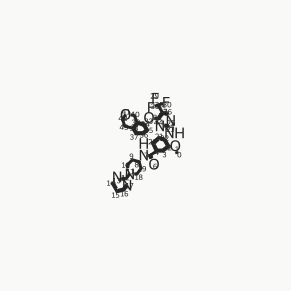 COc1cc(C(=O)NC2CCN(c3ncccn3)CC2)ccc1Nc1ncc(C(F)(F)F)c(Oc2cccc3c2COCC3)n1